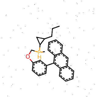 CCCC1CC1[PH]1(C)COc2cccc(-c3c4ccccc4cc4ccccc34)c21